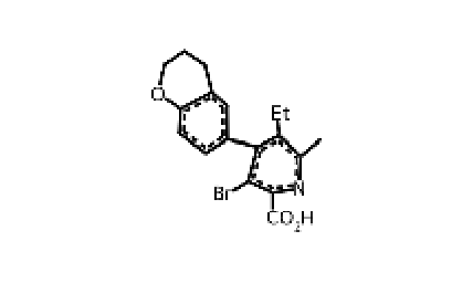 CCc1c(C)nc(C(=O)O)c(Br)c1-c1ccc2c(c1)CCCO2